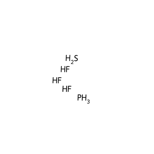 F.F.F.P.S